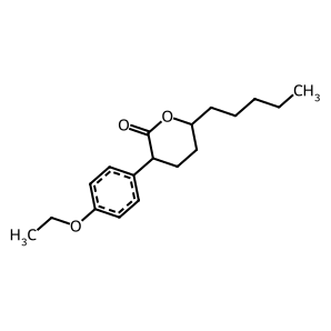 CCCCCC1CCC(c2ccc(OCC)cc2)C(=O)O1